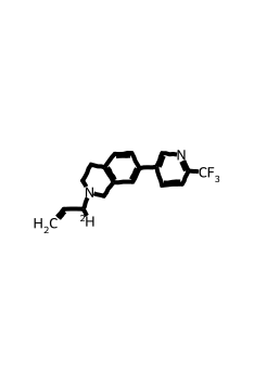 [2H]C(C=C)N1CCc2ccc(-c3ccc(C(F)(F)F)nc3)cc2C1